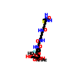 CC(=O)N[C@@H]1C(O)CC(Oc2ccc(NC(=O)CCC(=O)NCCCCCCNC(=O)CCCCC3SCC4NC(=O)NC43)cc2C(F)F)(C(=O)O)OC1[C@H](O)[C@H](O)CO